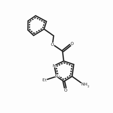 CCn1nc(C(=O)OCc2ccccc2)cc(N)c1=O